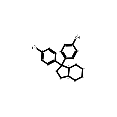 Oc1ccc(C2(c3ccc(O)cc3)CCC3CCCCC32)cc1